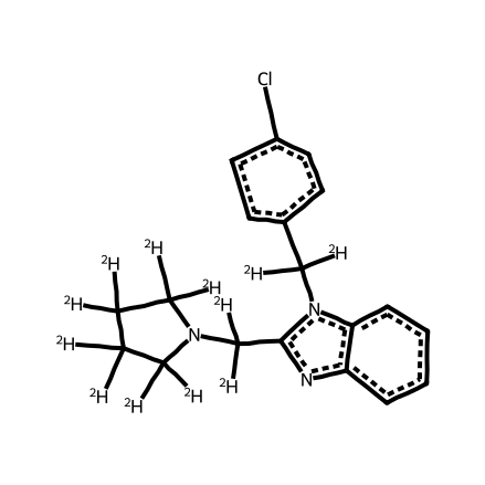 [2H]C([2H])(c1nc2ccccc2n1C([2H])([2H])c1ccc(Cl)cc1)N1C([2H])([2H])C([2H])([2H])C([2H])([2H])C1([2H])[2H]